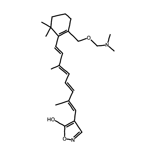 CC(/C=C/C1=C(COCN(C)C)CCCC1(C)C)=C\C=C\C(C)=C\c1cnoc1O